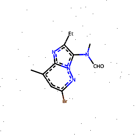 CCc1nc2c(C)cc(Br)nn2c1N(C)C=O